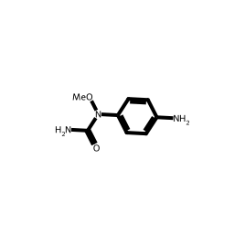 CON(C(N)=O)c1ccc(N)cc1